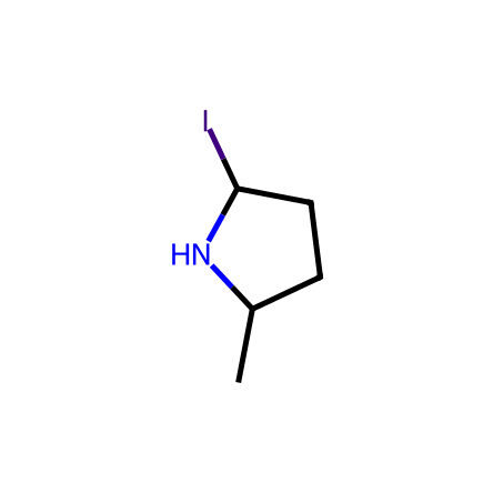 CC1CCC(I)N1